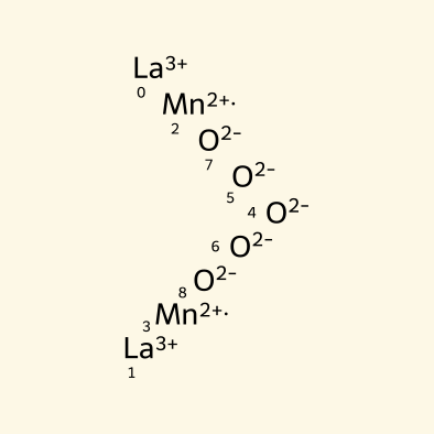 [La+3].[La+3].[Mn+2].[Mn+2].[O-2].[O-2].[O-2].[O-2].[O-2]